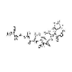 O=C(O)NCCNC(=O)c1ccc(N2CCC(N3C(=O)OCc4ccccc43)CC2)c([N+](=O)[O-])c1